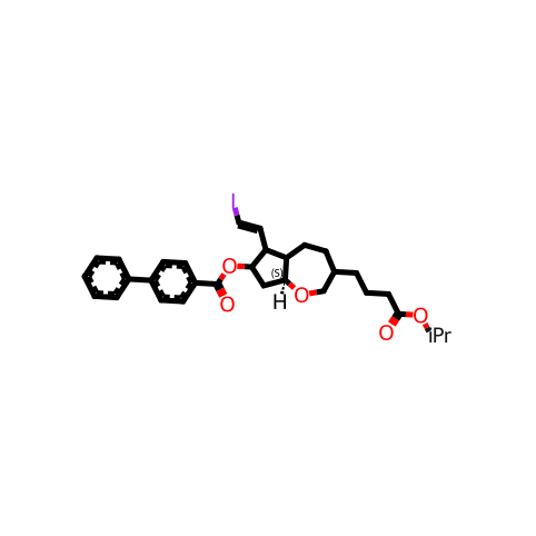 CC(C)OC(=O)CCCC1CCC2C(C=CI)C(OC(=O)c3ccc(-c4ccccc4)cc3)C[C@@H]2OC1